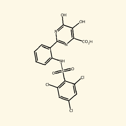 O=C(O)c1nc(-c2ccccc2NS(=O)(=O)c2c(Cl)cc(Cl)cc2Cl)nc(O)c1O